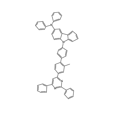 Cc1cc(-c2cc(-c3ccccc3)nc(-c3ccccc3)n2)ccc1-c1ccc(-n2c3ccccc3c3cc(N(c4ccccc4)c4ccccc4)ccc32)cc1